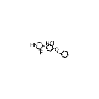 Cl.F[C@H]1CNCC[C@@H]1c1ccc(OCc2ccccc2)cc1